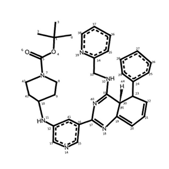 CC(C)(C)OC(=O)N1CCC(Nc2cncc(C3=NC4=CC=CC(c5ccccc5)[C@H]4C(NCc4ccccn4)=N3)c2)CC1